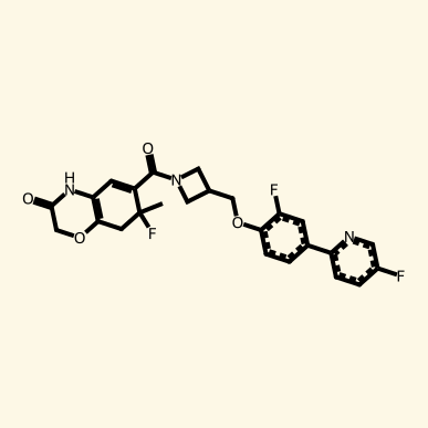 CC1(F)CC2=C(C=C1C(=O)N1CC(COc3ccc(-c4ccc(F)cn4)cc3F)C1)NC(=O)CO2